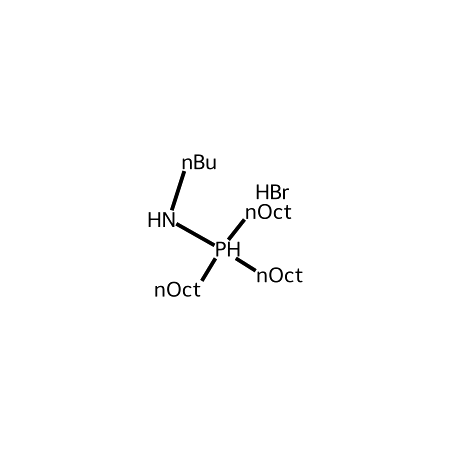 Br.CCCCCCCC[PH](CCCCCCCC)(CCCCCCCC)NCCCC